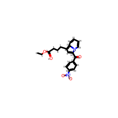 CCOC(=O)CCCc1cc(C(=O)c2ccc([N+](=O)[O-])cc2)n2ccccc12